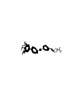 CCC[C@H]1CC[C@H](C#C[C@H]2CC[C@H](c3cc(F)c(F)c(F)c3)CC2)CC1